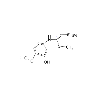 COc1ccc(N/C(=C/C#N)SC)cc1O